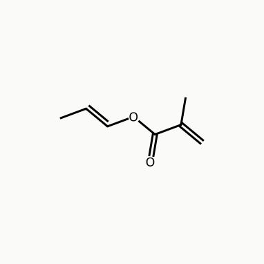 C=C(C)C(=O)OC=CC